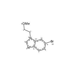 COCCn1cnc2ccc(Br)cc21